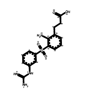 N=C(N)Nc1cccc(S(=O)(=O)c2cccc(CCC(=O)O)c2N)c1